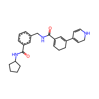 O=C(NCc1cccc(C(=O)NC2CCCC2)c1)C1=CCCC(C2=CCNC=C2)=C1